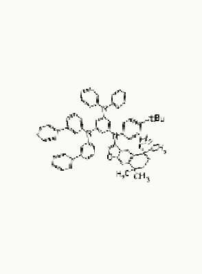 CC(C)(C)c1ccc(N(c2cc(N(c3ccccc3)c3ccccc3)cc(N(c3cccc(-c4ccccc4)c3)c3cccc(-c4ccccc4)c3)c2)c2coc3cc4c(cc23)C(C)(C)CCC4(C)C)cc1